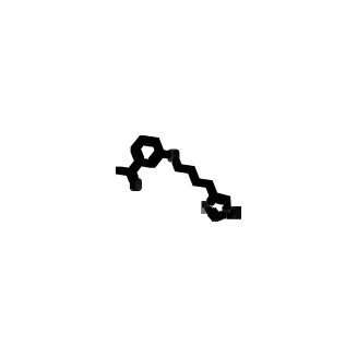 CC(=O)c1cccc(OCCCCc2c[nH]cn2)c1